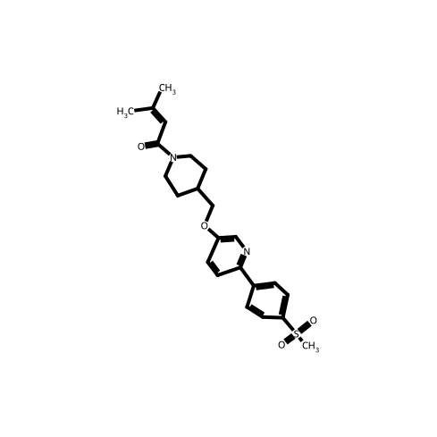 CC(C)=CC(=O)N1CCC(COc2ccc(-c3ccc(S(C)(=O)=O)cc3)nc2)CC1